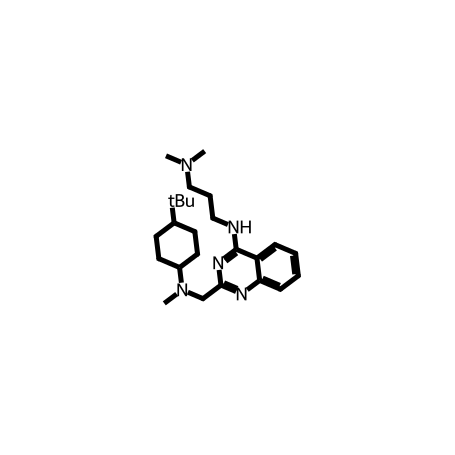 CN(C)CCCNc1nc(CN(C)C2CCC(C(C)(C)C)CC2)nc2ccccc12